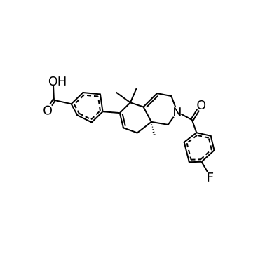 CC1(C)C(c2ccc(C(=O)O)cc2)=CC[C@]2(C)CN(C(=O)c3ccc(F)cc3)CC=C12